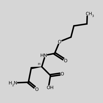 CCCCOC(=O)N[C@H](CC(N)=O)C(=O)O